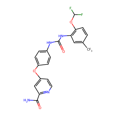 NC(=O)c1cc(Oc2ccc(NC(=O)Nc3cc(C(F)(F)F)ccc3OC(F)F)cc2)ccn1